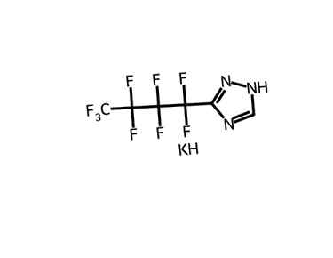 FC(F)(F)C(F)(F)C(F)(F)C(F)(F)c1nc[nH]n1.[KH]